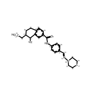 CCC1c2cc(C(=O)Nc3ccc(C=NN4CCSCC4)cc3)ccc2CCC1CC(=O)O